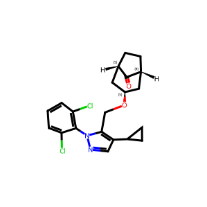 O=C1[C@@H]2CC[C@H]1C[C@H](OCc1c(C3CC3)cnn1-c1c(Cl)cccc1Cl)C2